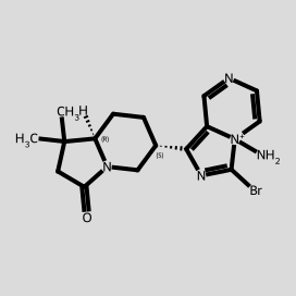 CC1(C)CC(=O)N2C[C@@H](C3=C4C=NC=C[N+]4(N)C(Br)=N3)CC[C@@H]21